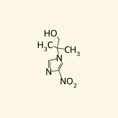 CC(C)(CO)n1cnc([N+](=O)[O-])c1